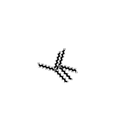 CCCCCCCCCC[Si](CCCCCCCCCC)(CCCCCCCCCC)CC[Si](CCCCCCCCCC)(CCCCCCCCCC)CCCCCCCCCC